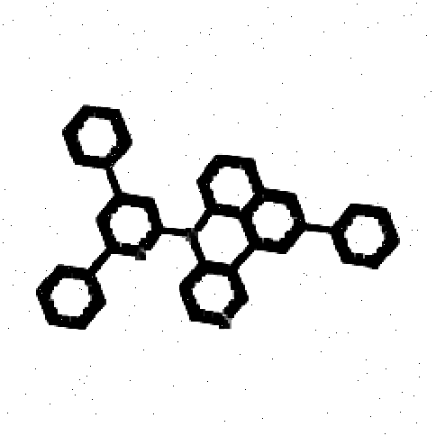 c1ccc(-c2cc(-c3ccccc3)nc(N3c4ccncc4-c4cc(-c5ccccc5)cc5cccc3c45)c2)cc1